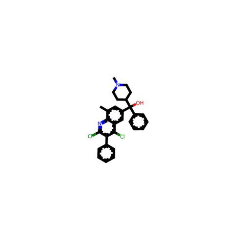 Cc1cc(C(O)(c2ccccc2)C2CCN(C)CC2)cc2c(Cl)c(-c3ccccc3)c(Cl)nc12